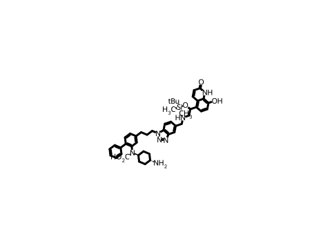 CC(C)(C)[Si](C)(C)OC(CNCc1ccc2c(c1)nnn2CCCc1ccc(-c2ccccc2)c(N(C(=O)O)[C@H]2CC[C@H](N)CC2)c1)c1ccc(O)c2[nH]c(=O)ccc12